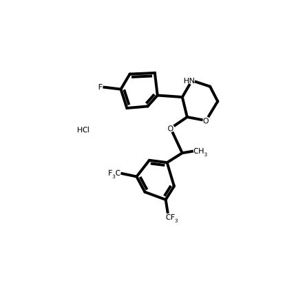 CC(OC1OCCNC1c1ccc(F)cc1)c1cc(C(F)(F)F)cc(C(F)(F)F)c1.Cl